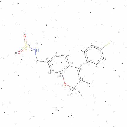 CC1=C(c2ccc(F)cc2)c2ccc(CN[SH](=O)=O)cc2OC1(C)C